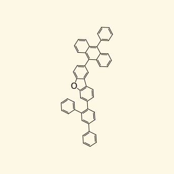 c1ccc(-c2ccc(-c3ccc4c(c3)oc3ccc(-c5c6ccccc6c(-c6ccccc6)c6ccccc56)cc34)c(-c3ccccc3)c2)cc1